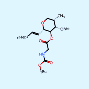 CCCCCCCC=C[C@@H]1OC[C@H](C)[C@H](OC)[C@H]1OC(=O)CNC(=O)OC(C)(C)C